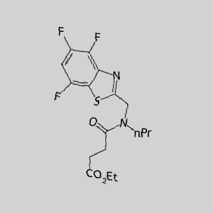 CCCN(Cc1nc2c(F)c(F)cc(F)c2s1)C(=O)CCC(=O)OCC